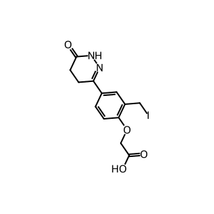 O=C(O)COc1ccc(C2=NNC(=O)CC2)cc1CI